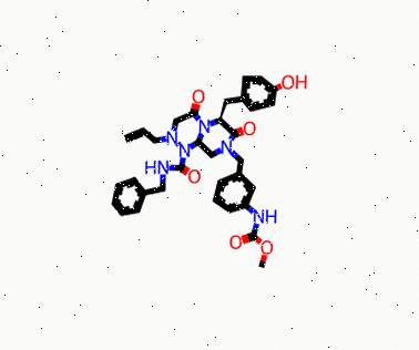 C=CCN1CC(=O)N2C(CN(Cc3cccc(NC(=O)OC)c3)C(=O)[C@@H]2Cc2ccc(O)cc2)N1C(=O)NCc1ccccc1